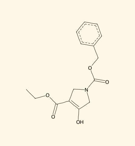 CCOC(=O)C1=C(O)CN(C(=O)OCc2ccccc2)C1